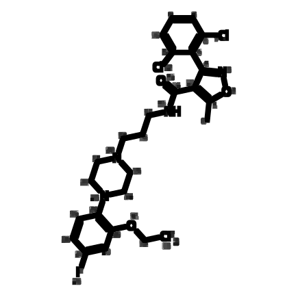 Cc1onc(-c2c(Cl)cccc2Cl)c1C(=O)NCCCN1CCN(c2ccc(F)cc2OCC(F)(F)F)CC1